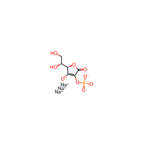 O=C1O[C@H]([C@@H](O)CO)C([O-])=C1OP(=O)([O-])[O-].[Na+].[Na+].[Na+]